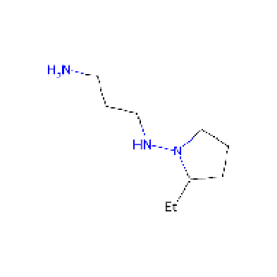 CCC1CCCN1NCCCN